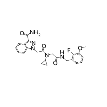 COc1cccc(CNC(=O)CN(C(=O)Cn2nc(C(N)=O)c3ccccc32)C2CC2)c1F